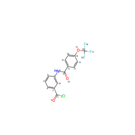 O=C(Cl)c1cccc(NC(=O)c2ccc(OC(F)(F)F)cc2)c1